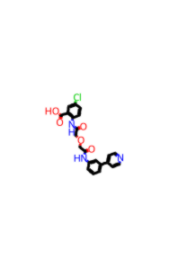 O=C(COCC(=O)Nc1ccc(Cl)cc1C(=O)O)Nc1cccc(-c2ccncc2)c1